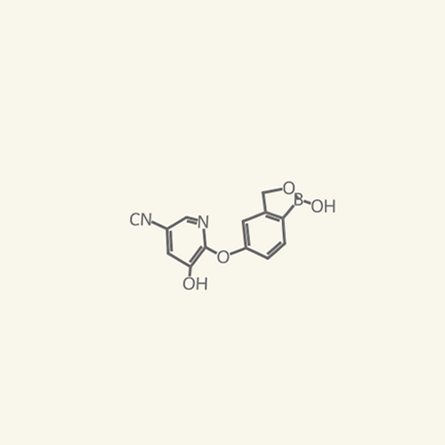 [C-]#[N+]c1cnc(Oc2ccc3c(c2)COB3O)c(O)c1